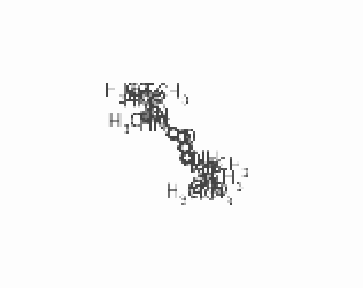 COC(=O)N[C@H](C(=O)N1C[C@@H](C)C[C@H]1c1ncc(-c2ccc3c(c2)COc2cc4c(ccc5nc([C@@H]6C[C@H](C)CN6C(=O)[C@H]([C@@H](C)OC)N(C)C(=O)O)[nH]c54)cc2-3)[nH]1)[C@@H](C)OC